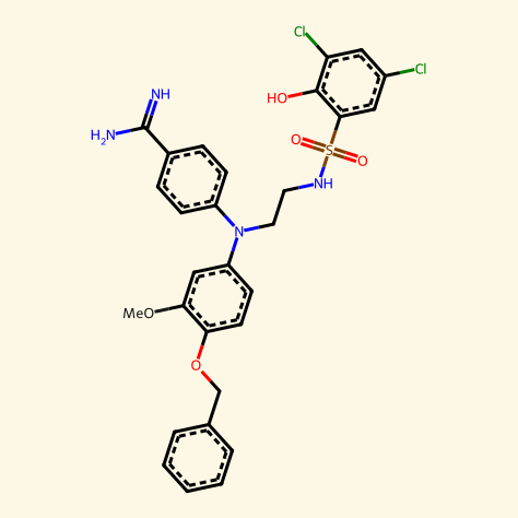 COc1cc(N(CCNS(=O)(=O)c2cc(Cl)cc(Cl)c2O)c2ccc(C(=N)N)cc2)ccc1OCc1ccccc1